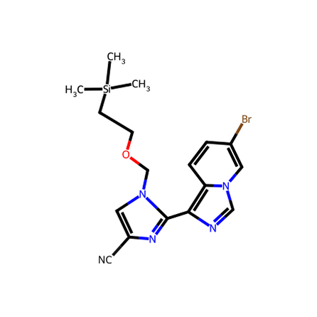 C[Si](C)(C)CCOCn1cc(C#N)nc1-c1ncn2cc(Br)ccc12